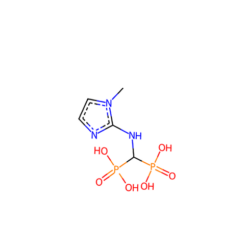 Cn1ccnc1NC(P(=O)(O)O)P(=O)(O)O